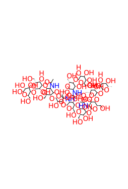 CC(=O)N[C@H]1[C@H](OC[C@H]2O[C@@H](O[C@H]3[C@H](O)[C@@H](NC(C)=O)[C@H](O[C@H]4[C@@H](O)[C@@H](CO)O[C@@H](O[C@H]5[C@H](O)[C@@H](O)[C@H](O)O[C@@H]5CO)[C@@H]4O)O[C@@H]3CO)[C@H](O)[C@@H](O[C@@H]3O[C@H](CO)[C@@H](O[C@@H]4O[C@H](CO)[C@H](O)[C@H](O[C@@H]5O[C@H](CO)[C@@H](O[C@@H]6O[C@H](CO)[C@H](O)[C@H](O)[C@H]6O[C@@H]6O[C@@H](C)[C@@H](O)[C@@H](O)[C@@H]6O)[C@H](O)[C@H]5NC(C)=O)[C@H]4O)[C@H](O)[C@H]3NC(C)=O)[C@H]2O)O[C@H](CO)[C@@H](O[C@@H]2O[C@H](CO)[C@H](O)[C@H](O)[C@H]2O)[C@@H]1O